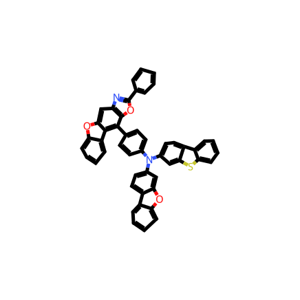 c1ccc(-c2nc3cc4oc5ccccc5c4c(-c4ccc(N(c5ccc6c(c5)oc5ccccc56)c5ccc6c(c5)sc5ccccc56)cc4)c3o2)cc1